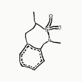 CC1Cc2ccccc2N(C)S1(=O)=O